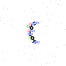 Cc1n[nH]cc1-c1ccc(-c2cnc(C(=O)Nc3ccc(C(=O)N4CCNCC4)c(Cl)c3)n2C)c(F)c1F